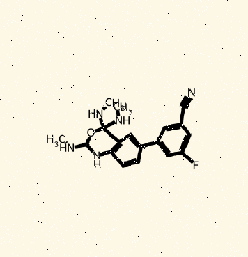 CNC1Nc2ccc(-c3cc(F)cc(C#N)c3)cc2C(NC)(NC)O1